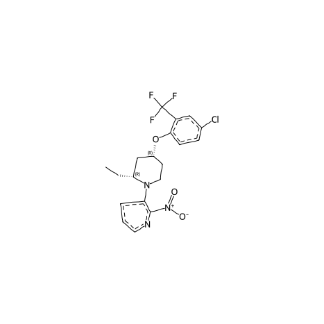 CC[C@@H]1C[C@H](Oc2ccc(Cl)cc2C(F)(F)F)CCN1c1cccnc1[N+](=O)[O-]